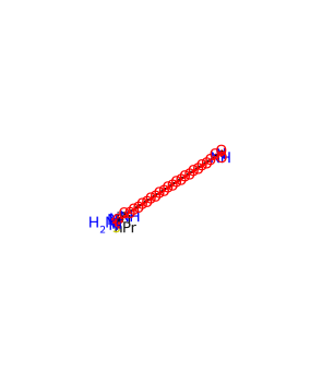 CCCSc1nc2c(N)nnc(OC(C)C)c2n1Cc1ccc(CNC(=O)CCOCCOCCOCCOCCOCCOCCOCCOCCOCCOCCOCCOCCOCCOCCOCCOCCOCCOCCOCCOCCNC(=O)CCN2C(=O)C=CC2=O)cc1